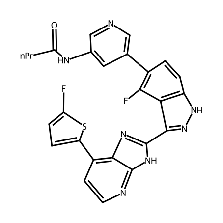 CCCC(=O)Nc1cncc(-c2ccc3[nH]nc(-c4nc5c(-c6ccc(F)s6)ccnc5[nH]4)c3c2F)c1